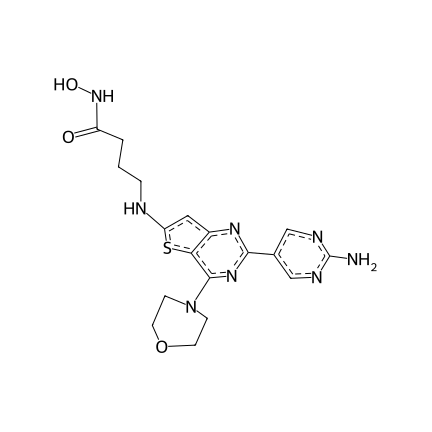 Nc1ncc(-c2nc(N3CCOCC3)c3sc(NCCCC(=O)NO)cc3n2)cn1